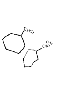 O.O=CC1CCCCC1.O=CC1CCCCC1